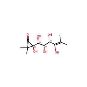 CC(C)=C(O)[C@@H](O)[C@@H](O)[C@H](O)[C@@]1(O)C(=O)C1(C)C